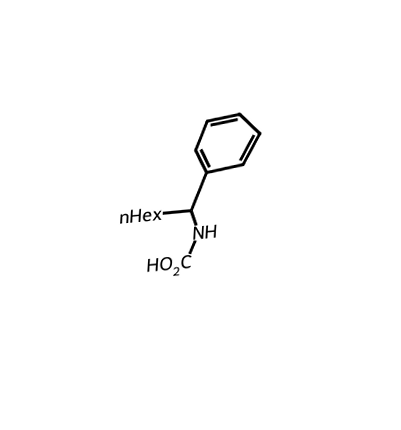 CCCCCCC(NC(=O)O)c1ccccc1